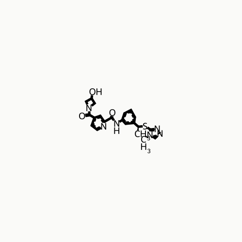 C[C@H](Sc1nncn1C)c1cccc(NC(=O)c2cc(C(=O)N3CC(O)C3)ccn2)c1